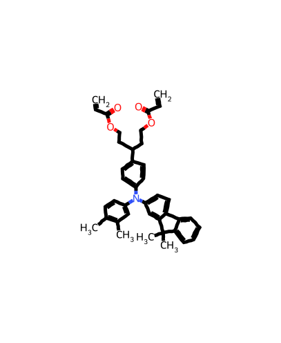 C=CC(=O)OCCC(CCOC(=O)C=C)c1ccc(N(c2ccc(C)c(C)c2)c2ccc3c(c2)C(C)(C)c2ccccc2-3)cc1